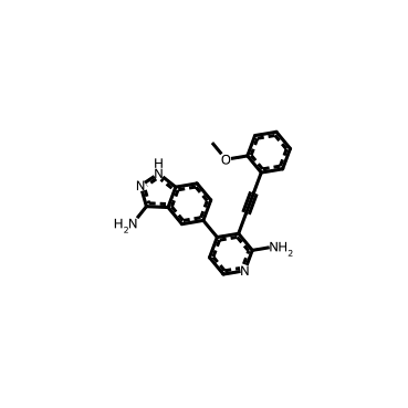 COc1ccccc1C#Cc1c(-c2ccc3[nH]nc(N)c3c2)ccnc1N